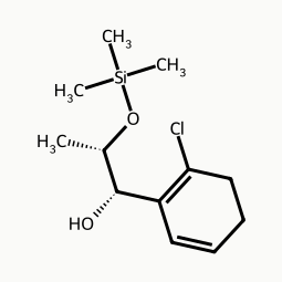 C[C@H](O[Si](C)(C)C)[C@@H](O)C1=C(Cl)CCC=C1